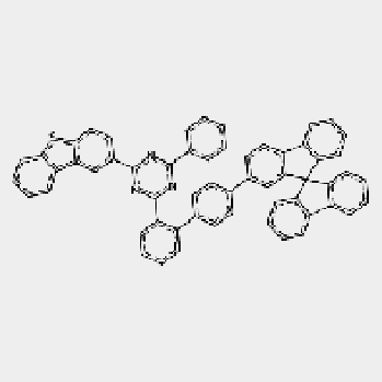 c1ccc(-c2nc(-c3ccc4sc5ccccc5c4c3)nc(-c3ccccc3-c3ccc(-c4ccc5c(c4)C4(c6ccccc6-c6ccccc64)c4ccccc4-5)cc3)n2)cc1